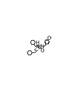 COc1ccc(CNC(=O)[C@H](CSCC2CCCCC2)NCC2CCCCC2)cc1